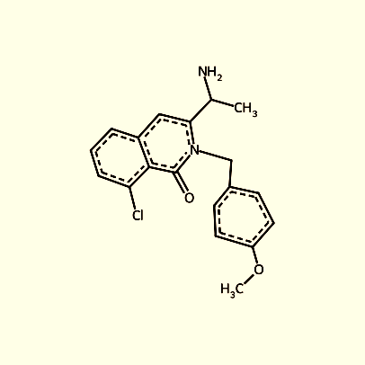 COc1ccc(Cn2c(C(C)N)cc3cccc(Cl)c3c2=O)cc1